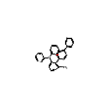 Nc1cccc(N(c2ccccc2)c2ccccc2)c1-c1ccc(-c2ccccc2)cc1